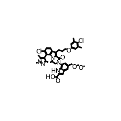 COCOCc1cc(N2CC(C)n3c(c(CCCOc4cc(C)c(Cl)c(C)c4)c4ccc(Cl)c(-c5c(C)nn(C)c5C)c43)C2=O)c2[nH]c(C(=O)O)cc2c1